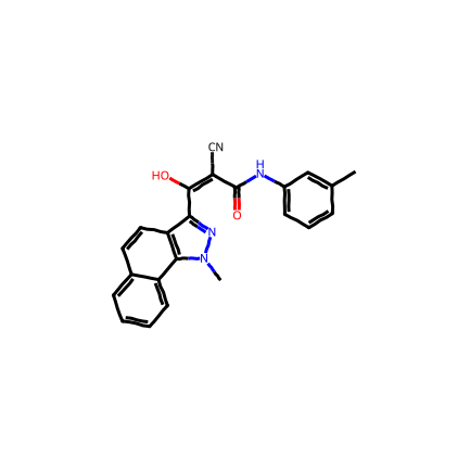 Cc1cccc(NC(=O)C(C#N)=C(O)c2nn(C)c3c2ccc2ccccc23)c1